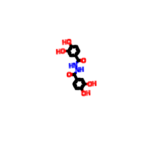 O=C(NNC(=O)c1ccc(O)c(O)c1)c1ccc(O)c(O)c1